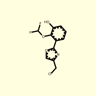 Oc1cccc(-c2nc(CCl)co2)c1OC(F)F